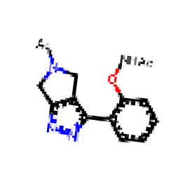 CC(=O)[N]Oc1ccccc1-c1[nH]nc2c1CN(C(C)=O)C2